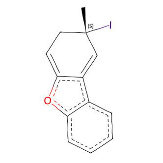 C[C@@]1(I)C=c2c(oc3ccccc23)=CC1